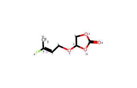 O=C1OCC(OC/C=C(/F)C(F)(F)F)O1